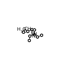 CC1(C)c2ccccc2-c2ccc(-c3ccc4cccc(-c5nc(-c6cccc(-c7ccccc7)c6)nc(-c6cccc(-c7ccccc7)c6)n5)c4c3)cc21